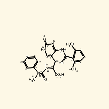 Cc1cccc(C)c1C(=O)Nc1nc(=O)[nH]cc1CC(NC(=O)N(C)c1ccccc1)C(=O)O